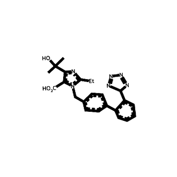 CCc1nc(C(C)(C)O)c(C(=O)O)n1Cc1ccc(-c2ccccc2C2N=NN=N2)cc1